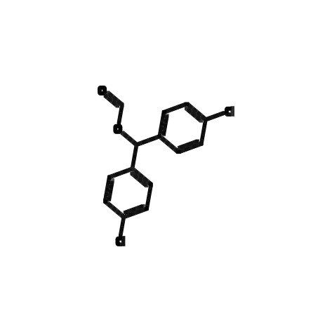 O=COC(c1ccc(Cl)cc1)c1ccc(Cl)cc1